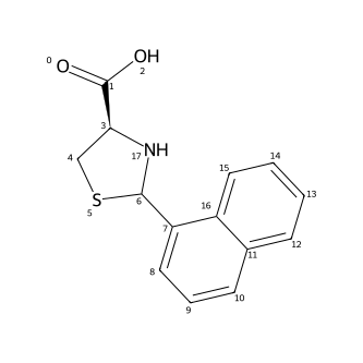 O=C(O)[C@@H]1CSC(c2cccc3ccccc23)N1